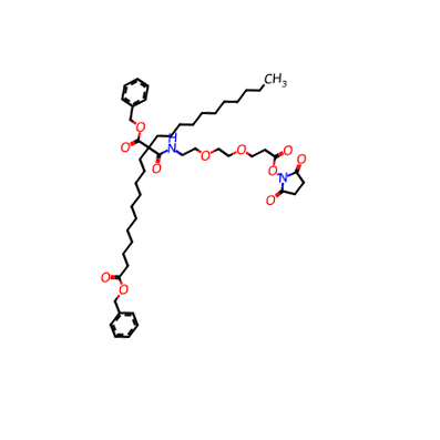 CCCCCCCCCCCC(CCCCCCCCCCC(=O)OCc1ccccc1)(C(=O)NCCOCCOCCC(=O)ON1C(=O)CCC1=O)C(=O)OCc1ccccc1